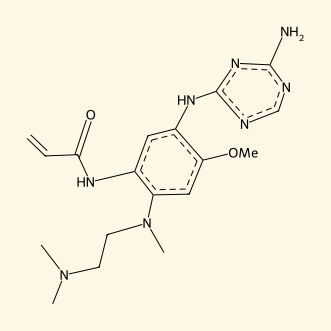 C=CC(=O)Nc1cc(Nc2ncnc(N)n2)c(OC)cc1N(C)CCN(C)C